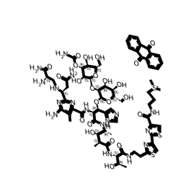 Cc1c(N)nc([C@H](CC(N)=O)NC[C@H](N)C(N)=O)nc1C(=O)N[C@H](C(=O)N[C@H](C)[C@@H](O)[C@H](C)C(=O)N[C@H](C(=O)NCCc1nc(-c2nc(C(=O)NCCC[S+](C)C)cs2)cs1)[C@@H](C)O)[C@@H](O[C@@H]1O[C@@H](CO)[C@H](O)[C@@H](O)[C@@H]1O[C@@H]1O[C@@H](CO)[C@H](O)[C@@H](OC(N)=O)[C@@H]1O)c1cnc[nH]1.O=C1c2ccccc2C(=O)c2ccccc21